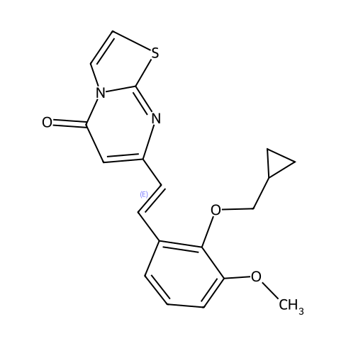 COc1cccc(/C=C/c2cc(=O)n3ccsc3n2)c1OCC1CC1